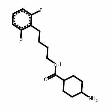 NC1CCC(C(=O)NCCCCc2c(F)cccc2F)CC1